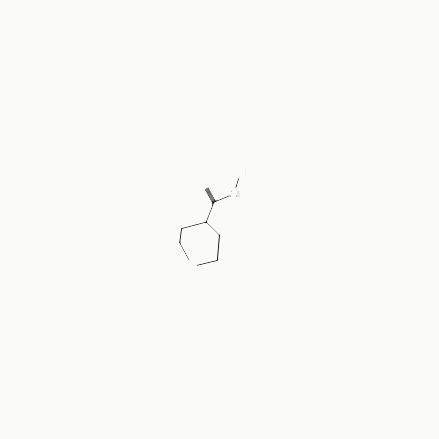 [CH2]NC(=O)C1CCSCC1